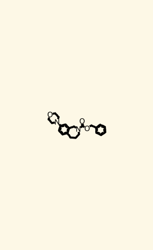 O=C(OCc1ccccc1)N1CCCc2ccc(N3CCOCC3)cc2C1